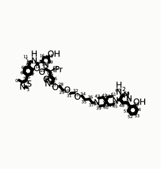 Cc1ncsc1-c1ccc([C@H](C)NC(=O)[C@@H]2C[C@@H](O)CN2C(=O)[C@H](c2cc(OCCOCCOCCCCN3CCC4(CC3)CCN(c3cc(-c5ccccc5O)nnc3N)CC4)no2)C(C)C)cc1